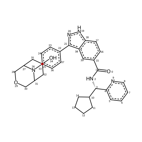 O=C(N[C@H](c1ccccn1)C1CCCC1)c1ccc2[nH]nc(-c3ccc(N4C5COCC4CC(O)C5)cc3)c2c1